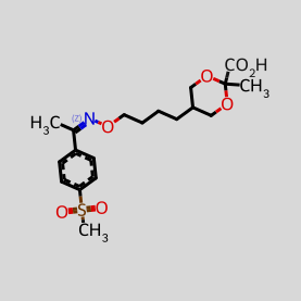 C/C(=N/OCCCCC1COC(C)(C(=O)O)OC1)c1ccc(S(C)(=O)=O)cc1